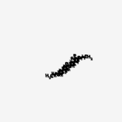 C=CCCOc1ccc(-c2ccc(OC(=O)c3ccc(-c4ccc(OCCCC)cc4)c(F)c3F)cc2)c(F)c1F